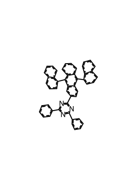 c1ccc(-c2nc(-c3ccccc3)nc(-c3ccc4c(-c5cccc6ccccc56)c5ccccc5c(-c5cccc6ccccc56)c4c3)n2)cc1